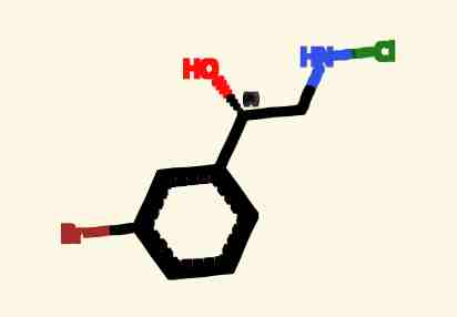 O[C@H](CNCl)c1cccc(Br)c1